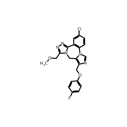 COCc1nnc2n1Cc1c(COc3ccc(F)cc3)ncn1-c1ccc(Cl)cc1-2